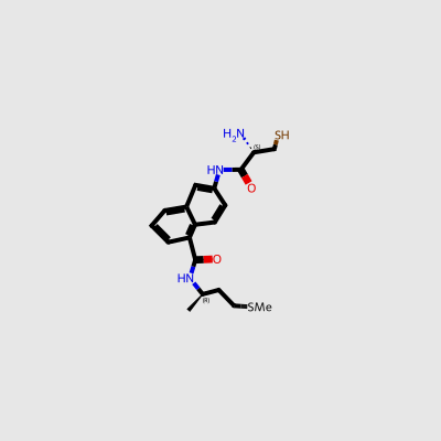 CSCC[C@@H](C)NC(=O)c1cccc2cc(NC(=O)[C@H](N)CS)ccc12